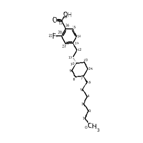 CCCCCCC[C@H]1CC[C@H](CCc2ccc(C(=O)O)c(F)c2)CC1